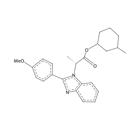 COc1ccc(-c2nc3ccccc3n2[C@H](C)C(=O)OC2CCCC(C)C2)cc1